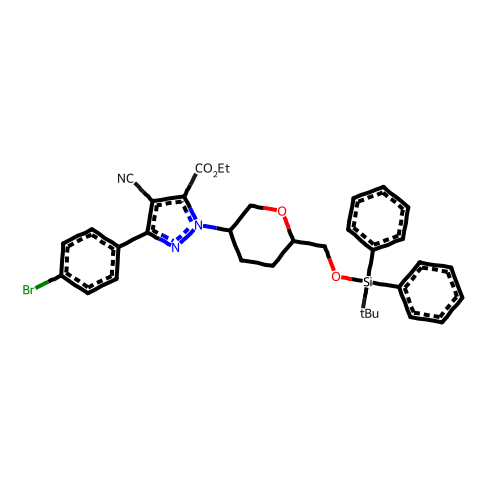 CCOC(=O)c1c(C#N)c(-c2ccc(Br)cc2)nn1C1CCC(CO[Si](c2ccccc2)(c2ccccc2)C(C)(C)C)OC1